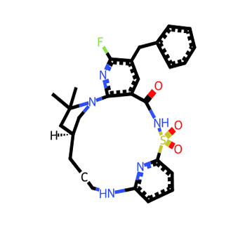 CC1(C)C[C@@H]2CCCNc3cccc(n3)S(=O)(=O)NC(=O)c3cc(Cc4ccccc4)c(F)nc3N1C2